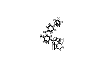 O=C(N[C@H]1CCCC[C@@H]1O)c1cc(Cc2ccc(-n3cccn3)cc2)c(F)cn1